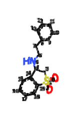 O=S1(=O)CC(NCCc2ccccc2)c2ccccc21